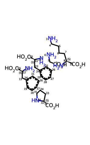 NCC(=O)O.NCCCC[C@H](N)C(=O)O.N[C@@H](Cc1ccccc1)C(=O)O.N[C@@H](Cc1ccccc1)C(=O)O.O=C(O)[C@@H]1CCCN1